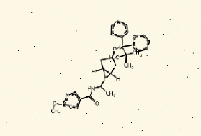 COc1ccc(C(=O)NC(C)[C@H]2[C@@H]3C[C@@H](O[Si](c4ccccc4)(c4ccccc4)C(C)(C)C)C[C@@H]32)cn1